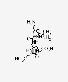 C[C@H](N)C(=O)N[C@@H](CCCCN)C(=O)NCC(=O)N[C@@H](CCC(=O)O)C(=O)NCC(=O)O